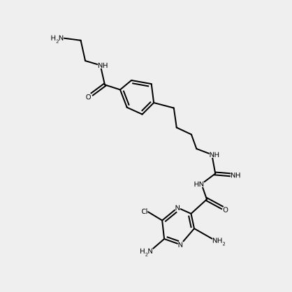 N=C(NCCCCc1ccc(C(=O)NCCN)cc1)NC(=O)c1nc(Cl)c(N)nc1N